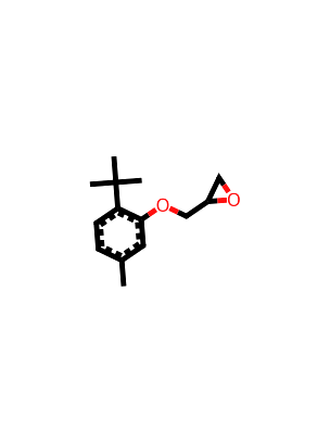 Cc1ccc(C(C)(C)C)c(OCC2CO2)c1